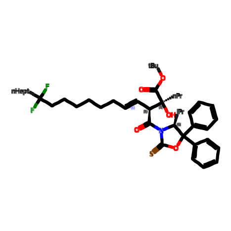 CCCCCCCC(F)(F)CCCCCC/C=C/[C@H](C(=O)N1C(=S)OC(c2ccccc2)(c2ccccc2)[C@@H]1C(C)C)[C@@](O)(CCC)C(=O)OC(C)(C)C